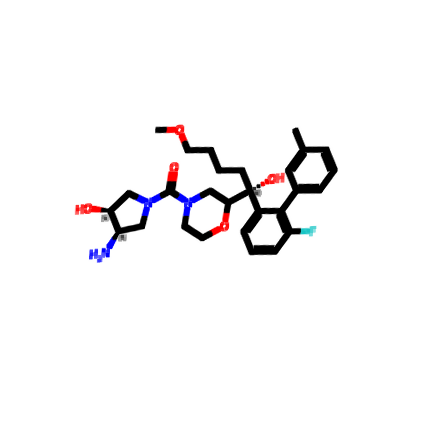 COCCCC[C@@](O)(c1cccc(F)c1-c1cccc(C)c1)C1CN(C(=O)N2C[C@@H](N)[C@@H](O)C2)CCO1